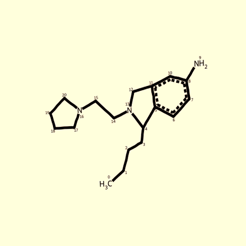 CCCCC1c2ccc(N)cc2CN1CCN1CCCC1